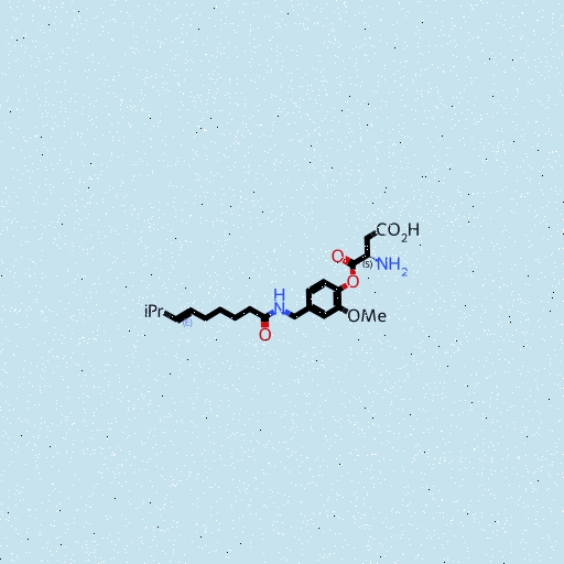 COc1cc(CNC(=O)CCCC/C=C/C(C)C)ccc1OC(=O)[C@@H](N)CC(=O)O